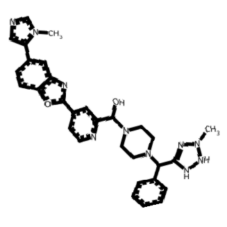 CN1N=C(C(c2ccccc2)N2CCN(C(O)c3cc(-c4nc5cc(-c6cncn6C)ccc5o4)ccn3)CC2)NN1